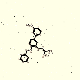 COc1cccc(-c2ccc(OCc3ccccc3)c(C/N=C(/N)SC)c2)c1